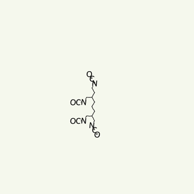 O=C=NCCC(CCCC(CN=C=O)CN=C=O)CN=C=O